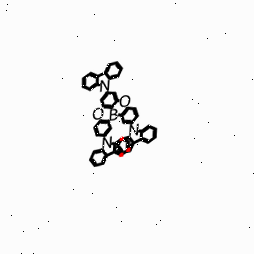 c1ccc2c(c1)c1ccccc1n2-c1cc2c3c(c1)Oc1ccc(-n4c5ccccc5c5ccccc54)cc1B3c1cc(-n3c4ccccc4c4ccccc43)ccc1O2